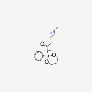 C/C=C/CCC(=O)C(C)(C)C1(c2ccccc2)OCCCO1